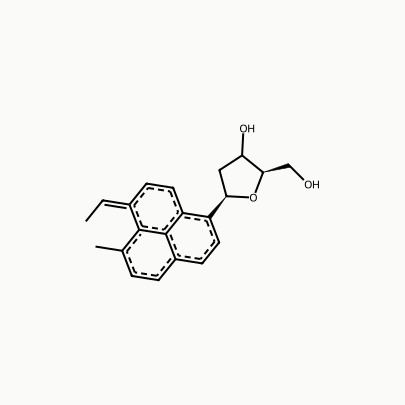 C/C=c1/ccc2c([C@H]3CC(O)[C@@H](CO)O3)ccc3ccc(C)c1c32